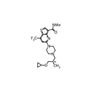 CNC(=O)c1csc2c(C(F)(F)F)cc(N3CCN(C[C@@H](C)COC4CC4)CC3)nc12